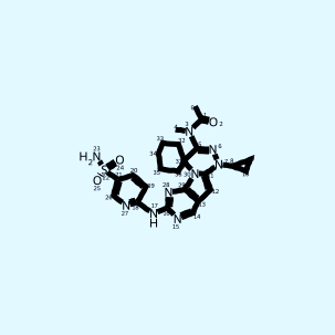 CC(=O)N(C)C1=NN(C2CC2)c2cc3cnc(Nc4ccc(S(N)(=O)=O)cn4)nc3n2C12CCCCC2